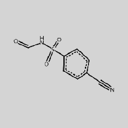 N#Cc1ccc(S(=O)(=O)NC=O)cc1